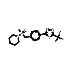 CP(=O)(Cc1ccc(-c2noc(C(F)(F)Cl)n2)cc1)N1CCCCC1